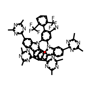 Cc1nc(C)nc(-c2ccc3c4ccc(-c5nc(C)nc(C)n5)cc4n(-c4cc(C#N)c(-c5c(C(F)(F)F)cccc5C(F)(F)F)cc4-n4c5cc(-c6nc(C)nc(C)n6)ccc5c5ccc(-c6nc(C)nc(C)n6)cc54)c3c2)n1